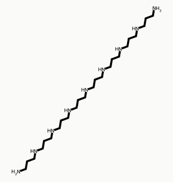 NCCCNCCCNCCCNCCCNCCCNCCCNCCCNCCCN